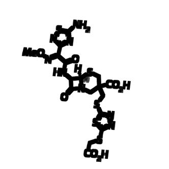 CON=C(C(=O)NC1C(=O)N2CC(CSc3nnc(SCC(=O)O)s3)(C(=O)O)CS[C@H]12)c1nsc(N)n1